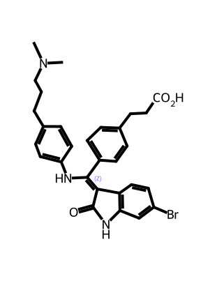 CN(C)CCCc1ccc(N/C(=C2\C(=O)Nc3cc(Br)ccc32)c2ccc(CCC(=O)O)cc2)cc1